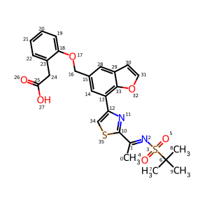 CC(=NS(=O)(=O)C(C)(C)C)c1nc(-c2cc(COc3ccccc3CC(=O)O)cc3ccoc23)cs1